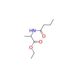 CCCC(=O)NC(C)C(=O)OCC